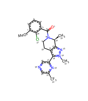 COc1cccc(C(=O)N2CCc3c(nn(C)c3-c3cncc(C(F)(F)F)n3)[C@@H]2C)c1Cl